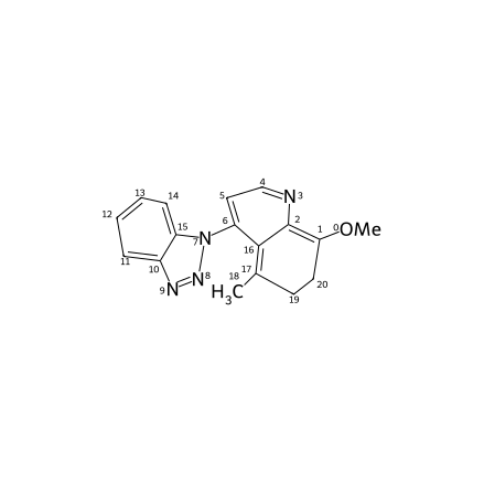 COC1=c2nccc(-n3nnc4ccccc43)c2=C(C)CC1